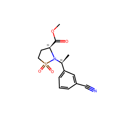 COC(=O)[C@@H]1CCS(=O)(=O)N1[C@@H](C)c1cccc(C#N)c1